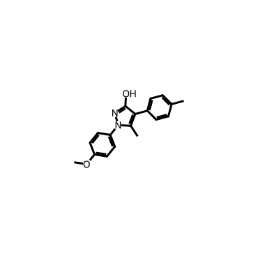 COc1ccc(-n2nc(O)c(-c3ccc(C)cc3)c2C)cc1